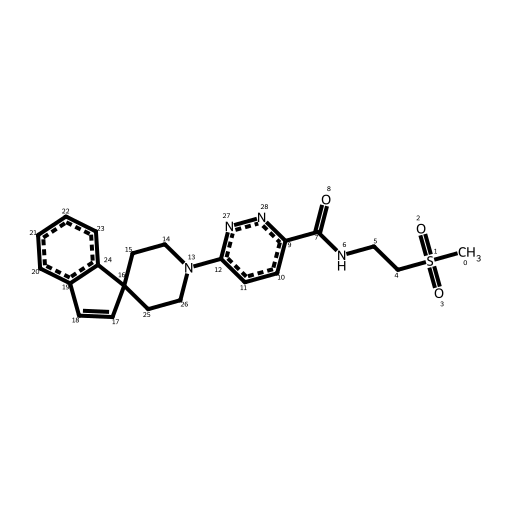 CS(=O)(=O)CCNC(=O)c1ccc(N2CCC3(C=Cc4ccccc43)CC2)nn1